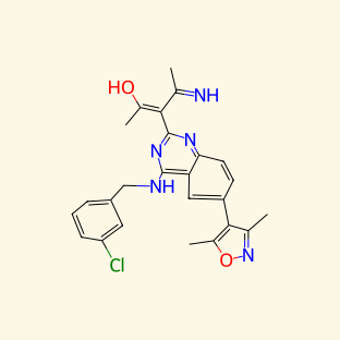 CC(=N)/C(=C(/C)O)c1nc(NCc2cccc(Cl)c2)c2cc(-c3c(C)noc3C)ccc2n1